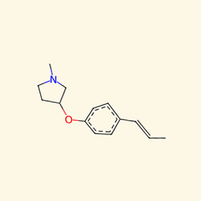 C/C=C/c1ccc(OC2CCN(C)C2)cc1